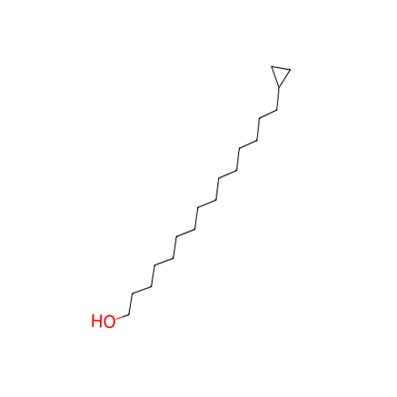 OCCCCCCCCCCCCCCCC1CC1